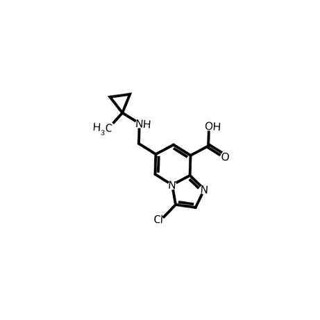 CC1(NCc2cc(C(=O)O)c3ncc(Cl)n3c2)CC1